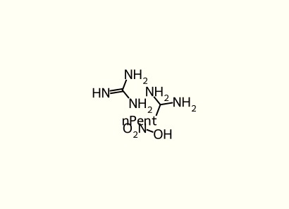 CCCCCC(N)N.N=C(N)N.O=[N+]([O-])O